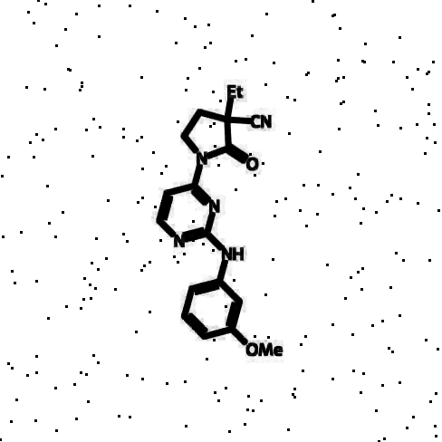 CCC1(C#N)CCN(c2ccnc(Nc3cccc(OC)c3)n2)C1=O